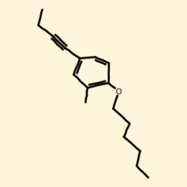 CCC#Cc1ccc(OCCCCCC)c(C)c1